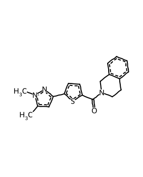 Cc1cc(-c2ccc(C(=O)N3CCc4ccccc4C3)s2)nn1C